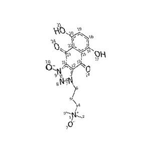 C[N+](C)([O-])CCCn1n[n+]([O-])c2c1C(=O)c1c(O)ccc(O)c1C2=O